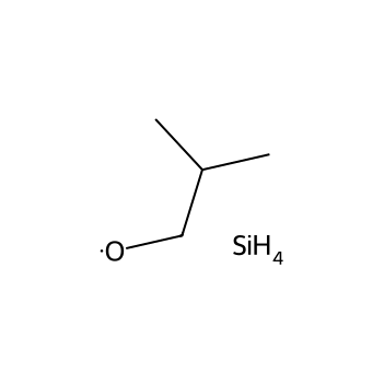 CC(C)C[O].[SiH4]